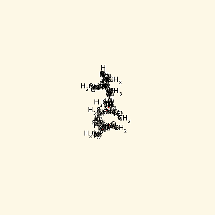 C=CC(=O)N1CCN(c2nc(OC[C@@H]3CC(c4ccc(C(F)(F)F)c(N5CCc6c(nc(OC[C@@H]7CCCN7C)nc6N6CCN(C(=O)C=C)CC6)C5)c4)CN3C)nc3c2CCN(c2ccc(C4C[C@@H](COc5nc6c(c(N7CCN(C(=O)C=C)CC7)n5)CCN(c5c(OC)ccc7[nH]ncc57)C6)N(C)C4)cc2C(C)C)C3)CC1